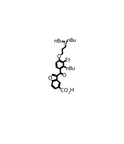 CCCCc1c(C(=O)c2coc3ccc(C(=O)O)cc23)ccc(OCCCN(CCCC)CCCC)c1CC